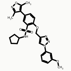 COc1cccc(-n2cc(COc3ccc(-c4c(C)noc4C)cc3S(=O)(=O)NC3CCCC3)nn2)c1